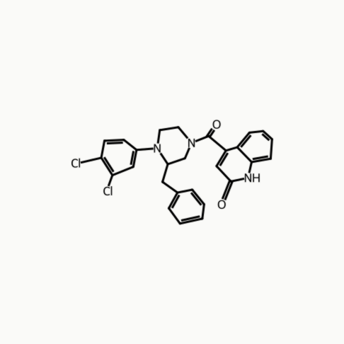 O=C(c1cc(=O)[nH]c2ccccc12)N1CCN(c2ccc(Cl)c(Cl)c2)C(Cc2ccccc2)C1